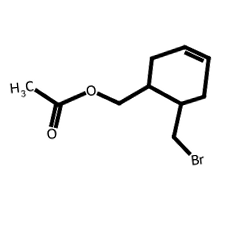 CC(=O)OCC1CC=CCC1CBr